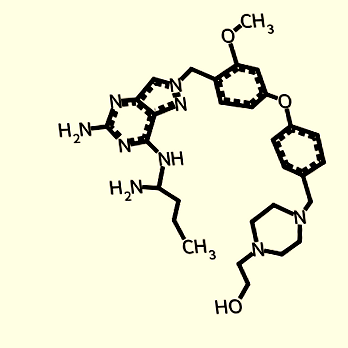 CCCC(N)Nc1nc(N)nc2cn(Cc3ccc(Oc4ccc(CN5CCN(CCO)CC5)cc4)cc3OC)nc12